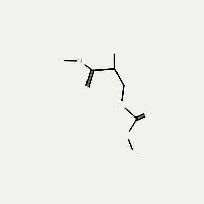 CC(CNC(=O)OC(C)(C)C)C(=O)NO